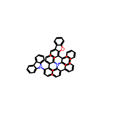 c1ccc(-c2cccc(-c3ccccc3N(c3ccccc3-c3ccccc3-n3c4ccccc4c4ccccc43)c3ccccc3-c3cccc4c3oc3ccccc34)c2)cc1